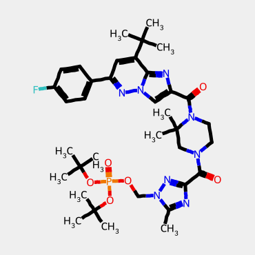 Cc1nc(C(=O)N2CCN(C(=O)c3cn4nc(-c5ccc(F)cc5)cc(C(C)(C)C)c4n3)C(C)(C)C2)nn1COP(=O)(OC(C)(C)C)OC(C)(C)C